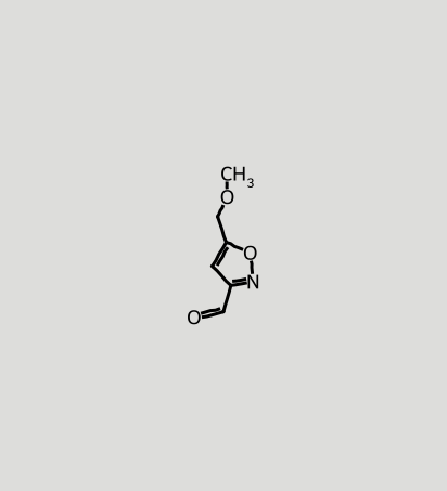 COCc1cc(C=O)no1